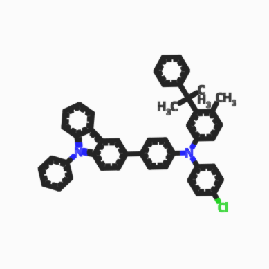 Cc1ccc(N(c2ccc(Cl)cc2)c2ccc(-c3ccc4c(c3)c3ccccc3n4-c3ccccc3)cc2)cc1C(C)(C)c1ccccc1